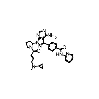 CN(C/C=C/C(=O)N1CCC[C@H]1n1nc(-c2ccc(C(=O)Nc3ccccn3)cc2)c2c(N)ncnc21)C1CC1